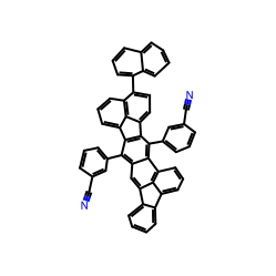 N#Cc1cccc(-c2c3cc4c5ccccc5c5cccc(c3c(-c3cccc(C#N)c3)c3c6ccc(-c7cccc8ccccc78)c7cccc(c23)c76)c54)c1